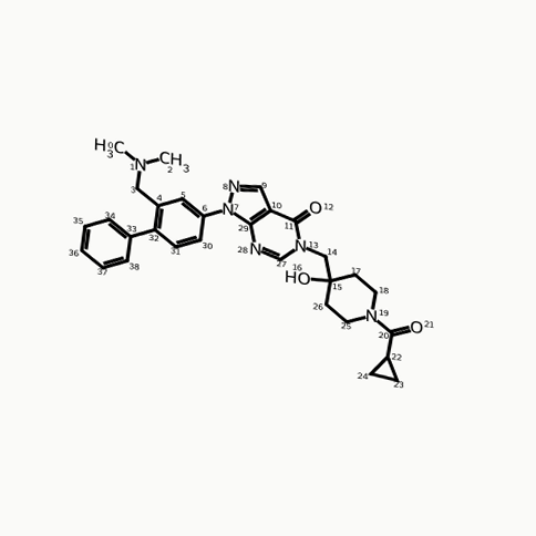 CN(C)Cc1cc(-n2ncc3c(=O)n(CC4(O)CCN(C(=O)C5CC5)CC4)cnc32)ccc1-c1ccccc1